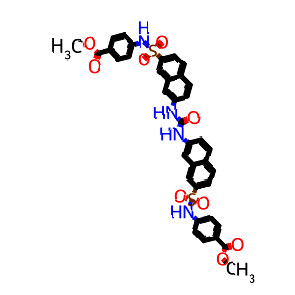 COC(=O)c1ccc(NS(=O)(=O)c2ccc3ccc(NC(=O)Nc4ccc5ccc(S(=O)(=O)Nc6ccc(C(=O)OC)cc6)cc5c4)cc3c2)cc1